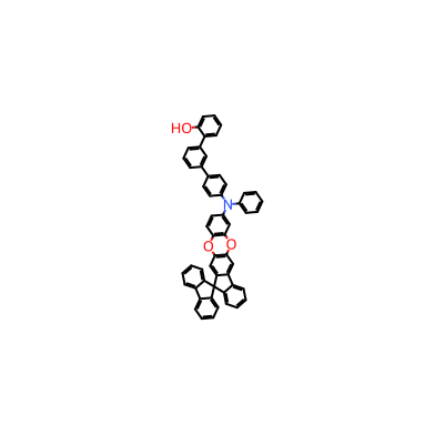 Oc1ccccc1-c1cccc(-c2ccc(N(c3ccccc3)c3ccc4c(c3)Oc3cc5c(cc3O4)C3(c4ccccc4-c4ccccc43)c3ccccc3-5)cc2)c1